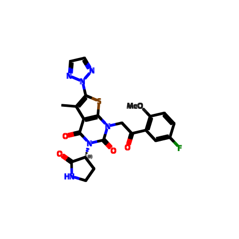 COc1ccc(F)cc1C(=O)Cn1c(=O)n([C@@H]2CCNC2=O)c(=O)c2c(C)c(-n3nccn3)sc21